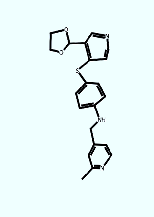 Cc1cc(CNc2ccc(Sc3ccncc3C3OCCO3)cc2)ccn1